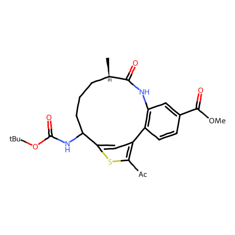 COC(=O)c1ccc2c(c1)NC(=O)[C@H](C)CCCC(NC(=O)OC(C)(C)C)c1cc-2c(C(C)=O)s1